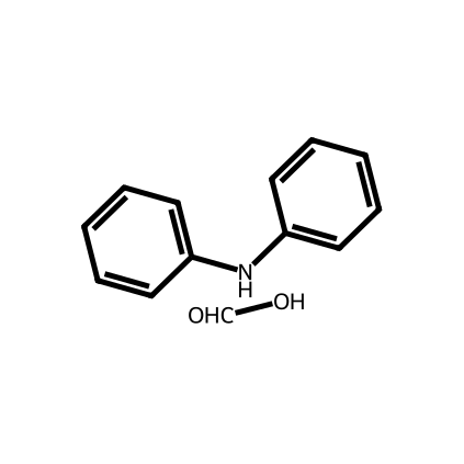 O=CO.c1ccc(Nc2ccccc2)cc1